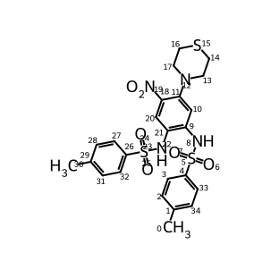 Cc1ccc(S(=O)(=O)Nc2cc(N3CCSCC3)c([N+](=O)[O-])cc2NS(=O)(=O)c2ccc(C)cc2)cc1